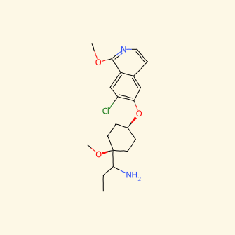 CCC(N)[C@]1(OC)CC[C@@H](Oc2cc3ccnc(OC)c3cc2Cl)CC1